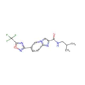 CC(C)CNC(=O)c1cn2cc(-c3noc(C(F)(F)F)n3)ccc2n1